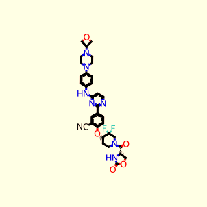 N#Cc1cc(-c2nccc(Nc3ccc(N4CCN(C5COC5)CC4)cc3)n2)ccc1O[C@H]1CCN(C(=O)[C@@H]2COC(=O)N2)CC1(F)F